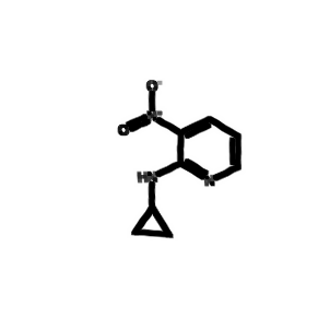 O=[N+]([O-])c1cccnc1NC1CC1